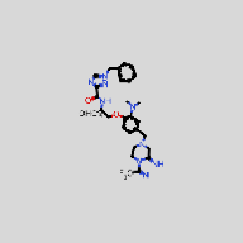 CN(C)c1cc(CN2CCN(C(=N)C(F)(F)F)C(=N)C2)ccc1OC[C@@H](C=O)NC(=O)c1ncn(Cc2ccccc2)n1